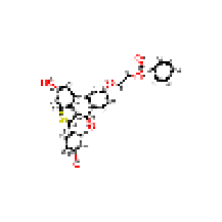 O=C(OCCOc1ccc(C(=O)c2c(-c3ccc(O)cc3)sc3cc(O)ccc23)cc1)c1ccccc1